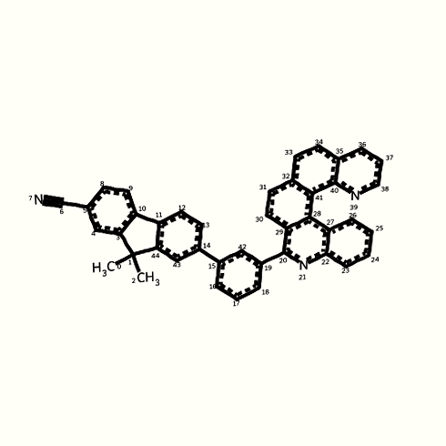 CC1(C)c2cc(C#N)ccc2-c2ccc(-c3cccc(-c4nc5ccccc5c5c4ccc4ccc6cccnc6c45)c3)cc21